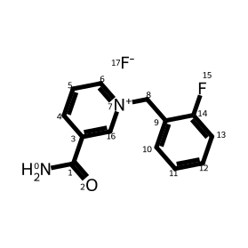 NC(=O)c1ccc[n+](Cc2ccccc2F)c1.[F-]